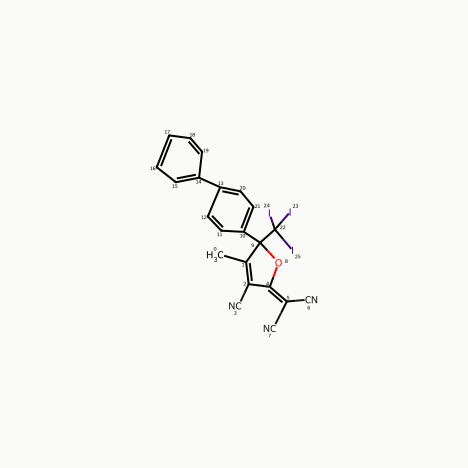 CC1=C(C#N)C(=C(C#N)C#N)OC1(c1ccc(-c2ccccc2)cc1)C(I)(I)I